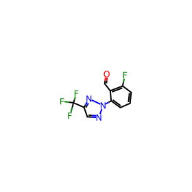 O=Cc1c(F)cccc1-n1ncc(C(F)(F)F)n1